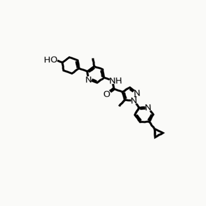 Cc1cc(NC(=O)c2cnn(-c3ccc(C4CC4)cn3)c2C)cnc1C1=CCC(O)CC1